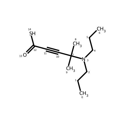 CCCN(CCC)C(C)(C)C#CC(=O)S